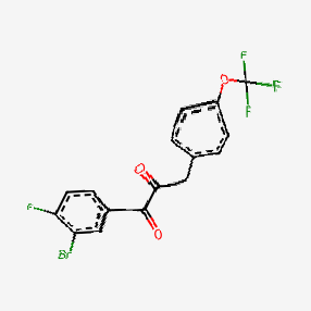 O=C(Cc1ccc(OC(F)(F)F)cc1)C(=O)c1ccc(F)c(Br)c1